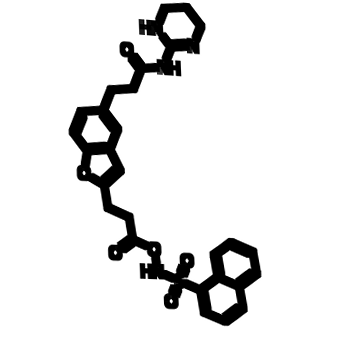 O=C(CCc1ccc2oc(CCC(=O)ONS(=O)(=O)c3cccc4ccccc34)cc2c1)NC1=NCCCN1